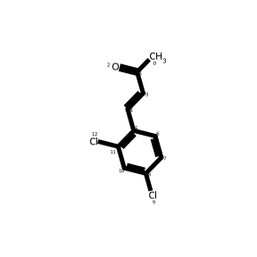 CC(=O)C=Cc1ccc(Cl)cc1Cl